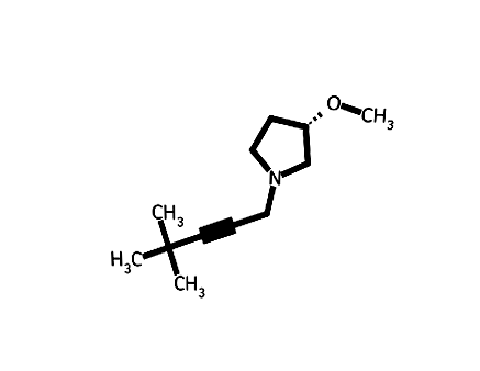 CO[C@H]1CCN(CC#CC(C)(C)C)C1